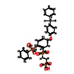 CC(C)(c1ccccc1)c1ccc(Oc2ccc(S(=O)(=O)c3ccccc3)c(S(=O)(=O)CCS(=O)(=O)O)c2)cc1